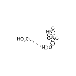 O=C(O)CCCCCCCCN1CCC(Oc2ccc3c(c2)C(=O)N(C2CCC(=O)NC2=O)C3=O)CC1